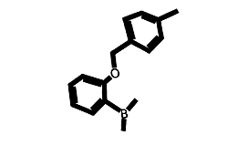 CB(C)c1ccccc1OCc1ccc(C)cc1